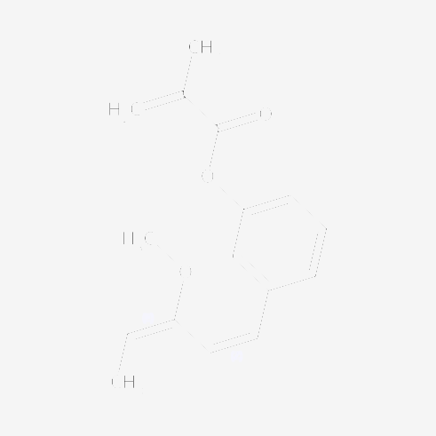 C=C(C)C(=O)Oc1cccc(/C=C\C(=C/C)OC)c1